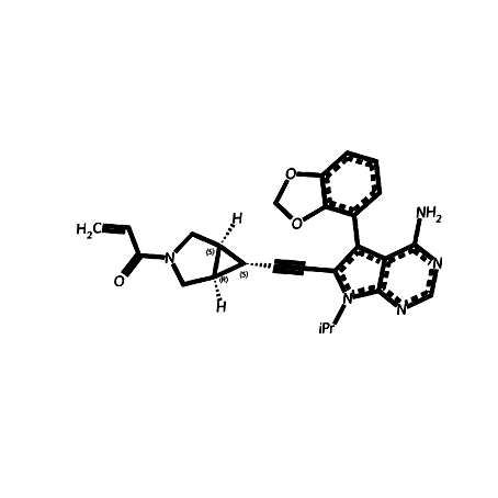 C=CC(=O)N1C[C@@H]2[C@@H](C#Cc3c(-c4cccc5c4OCO5)c4c(N)ncnc4n3C(C)C)[C@@H]2C1